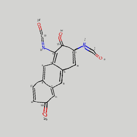 O=C=NC1=Cc2cc3c(cc2=C(N=C=O)C1=O)C=CC(=O)C=3